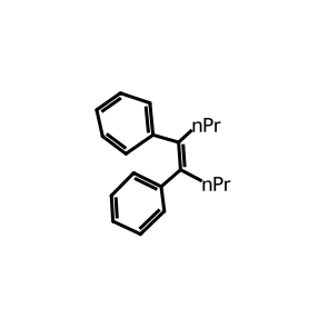 CCCC(=C(CCC)c1ccccc1)c1ccccc1